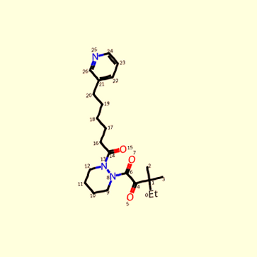 CCC(C)(C)C(=O)C(=O)N1CCCCN1C(=O)CCCCCc1cccnc1